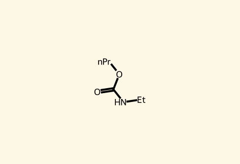 [CH2]CNC(=O)OCCC